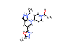 CCn1ncc2c1N(C1CCN(C(C)=O)CC1)C=C(c1nnc(C)o1)C2